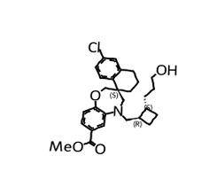 COC(=O)c1ccc2c(c1)N(C[C@@H]1CC[C@H]1CCCO)C[C@@]1(CCCc3cc(Cl)ccc31)CO2